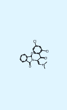 CN(C)/C=C(\C(=O)c1ccc(Cl)cc1Cl)N1C(=O)c2ccccc2C1=O